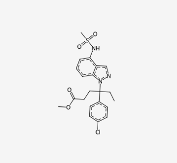 CCC(CCC(=O)OC)(c1ccc(Cl)cc1)n1ncc2c(NS(C)(=O)=O)cccc21